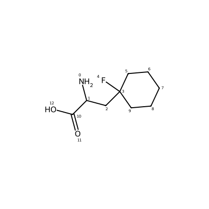 NC(CC1(F)CCCCC1)C(=O)O